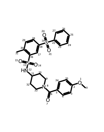 COc1ccc(C(=O)N2CCC(NS(=O)(=O)c3cc(S(=O)(=O)c4ccccc4)ccc3C)CC2)cc1